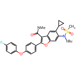 CCCCN(c1cc2oc(-c3ccc(Oc4ccc(F)cc4)cc3)c(C(=O)NC)c2cc1C1CC1)S(C)(=O)=O